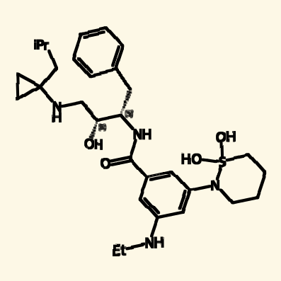 CCNc1cc(C(=O)N[C@@H](Cc2ccccc2)[C@H](O)CNC2(CC(C)C)CC2)cc(N2CCCCS2(O)O)c1